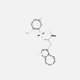 COC(=O)C(Cc1c[nH]c2ccccc12)NS(=O)(=O)c1cc(Br)ccc1OC(C)C